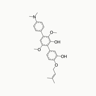 COc1cc(-c2ccc(N(C)C)cc2)c(OC)c(O)c1-c1ccc(OCC=C(C)C)c(O)c1